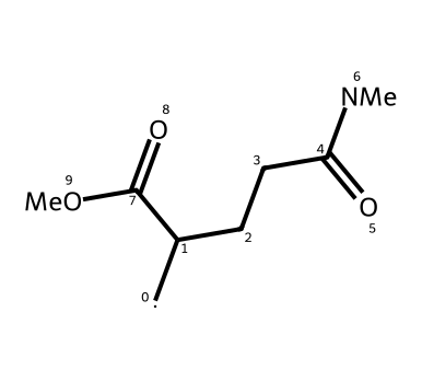 [CH2]C(CCC(=O)NC)C(=O)OC